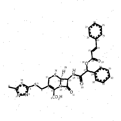 Cc1nnc(SCC2=C(C(=O)O)N3C(=O)C(NC(=O)C(OC(=O)C=Cc4ccccc4)c4ccccc4)[C@@H]3SC2)s1